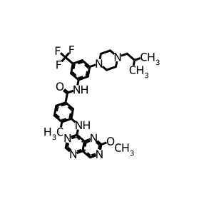 COc1ncc2ncnc(Nc3cc(C(=O)Nc4cc(N5CCN(CC(C)C)CC5)cc(C(F)(F)F)c4)ccc3C)c2n1